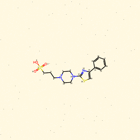 O=S(=O)(O)CCCN1CCN(c2nc(-c3ccccc3)cs2)CC1